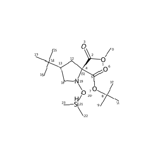 COC(=O)[C@]1(C(=O)OC(C)(C)C)CC(C(C)(C)C)CN1O[SiH](C)C